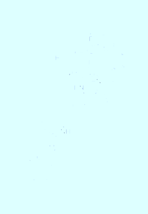 CC(C)(C)OC(=O)NC(CCCCNC(=O)OCc1ccccc1)C(=O)NCc1cccc(C(F)(F)F)c1